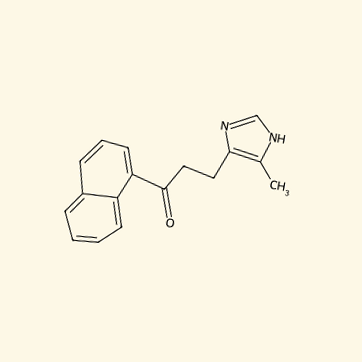 Cc1[nH]cnc1CCC(=O)c1cccc2ccccc12